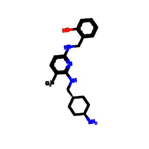 N[C@H]1CC[C@H](CNc2nc(NCc3ccccc3O)ccc2[N+](=O)[O-])CC1